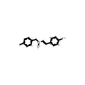 Cc1ccc(C[S+]([O-])C=Cc2ccc(F)cc2)cc1